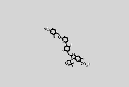 CC1(C)COCC1n1c(Cc2cc(F)c(-c3cccc(OCc4ccc(C#N)cc4F)n3)cc2F)nc2cc(F)c(C(=O)O)cc21